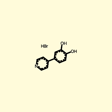 Br.Oc1ccc(-c2ccncc2)cc1O